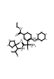 CCOC(=O)C1CCC(NC2CCCCC2)=C(C(C)(N)C(=O)NC(C(C)C)C2(C)CCCC2)C1